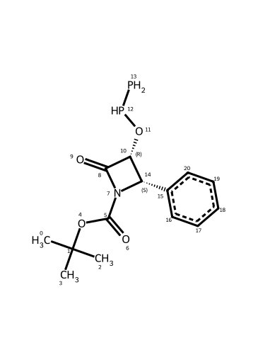 CC(C)(C)OC(=O)N1C(=O)[C@H](OPP)[C@@H]1c1ccccc1